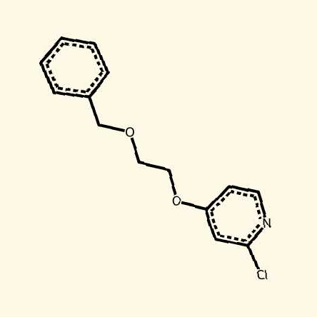 Clc1cc(OCCOCc2ccccc2)ccn1